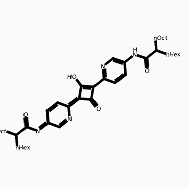 CCCCCCCCC(CCCCCC)C(=O)/N=C1C=C/C(=C2/C(=O)C(c3ccc(NC(=O)C(CCCCCC)CCCCCCCC)cn3)=C2O)N=C\1